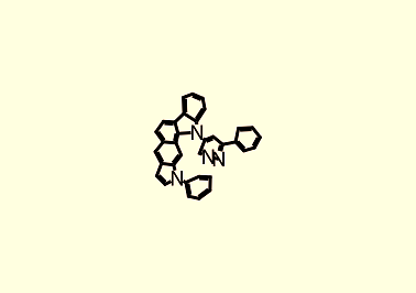 c1ccc(-c2cc(-n3c4ccccc4c4ccc5cc6ccn(-c7ccccc7)c6cc5c43)cnn2)cc1